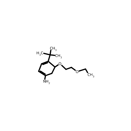 CCOCCOC1CC(N)=CC=C1C(C)(C)C